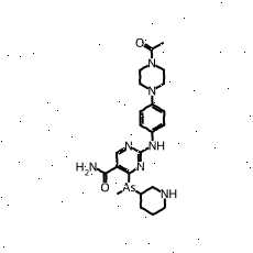 CC(=O)N1CCN(c2ccc(Nc3ncc(C(N)=O)c([As](C)C4CCCNC4)n3)cc2)CC1